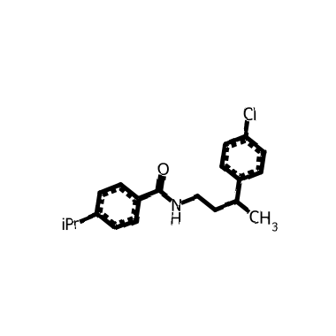 CC(C)c1ccc(C(=O)NCCC(C)c2ccc(Cl)cc2)cc1